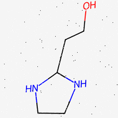 OCCC1NCCN1